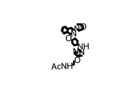 CC(=O)NCCOc1cnc(N[C@H]2CC[C@@H](Oc3nc(N4CCOCC4)cc4ccccc34)CC2)nc1